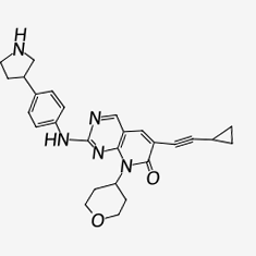 O=c1c(C#CC2CC2)cc2cnc(Nc3ccc(C4CCNC4)cc3)nc2n1C1CCOCC1